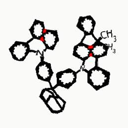 CC1(C)c2ccccc2-c2ccc(N(c3ccc(C4(c5ccc(N(c6ccccc6)c6ccccc6-c6ccccc6)cc5)C5CC6CC(C5)CC4C6)cc3)c3ccccc3-c3ccccc3)cc21